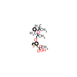 CC/C(C)=C(/O/C(C)=C(\C)CCOc1ccc(C[C@H](OC)C(=O)O)c2sccc12)c1ccccc1